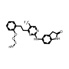 CCCSOOc1ccccc1CCc1nc(Nc2ccc3c(c2)CC(=O)N3)ncc1C(F)(F)F